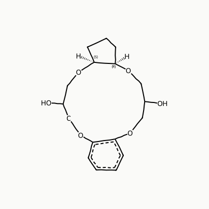 OC1COc2ccccc2OCC(O)CO[C@@H]2CCC[C@@H]2OC1